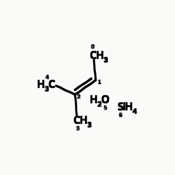 CC=C(C)C.O.[SiH4]